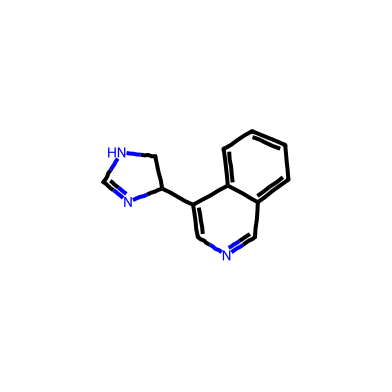 C1=NC(c2cncc3ccccc23)CN1